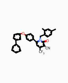 Cc1ccc(Cn2c(-c3ccc(Oc4cccc(-c5ccccc5)c4)cc3)cc(C(F)(F)F)c(C#N)c2=O)c(C)c1